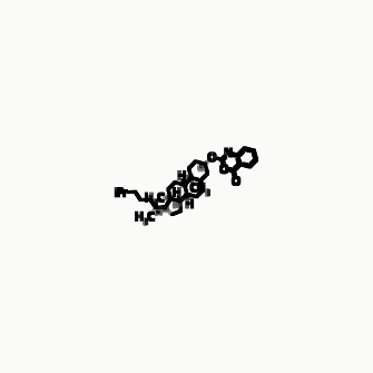 CC(C)CCC[C@@H](C)[C@H]1CC[C@H]2[C@@H]3CC=C4C[C@@H](Oc5nc6ccccc6c(=O)o5)CC[C@]4(C)[C@H]3CC[C@]12C